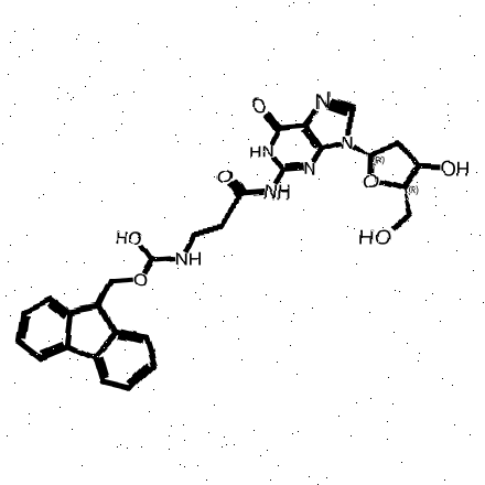 O=C(CCNC(O)OCC1c2ccccc2-c2ccccc21)Nc1nc2c(ncn2[C@H]2CC(O)[C@@H](CO)O2)c(=O)[nH]1